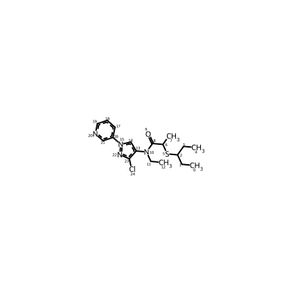 CCC(CC)SC(C)C(=O)N(CC)c1cn(-c2cccnc2)nc1Cl